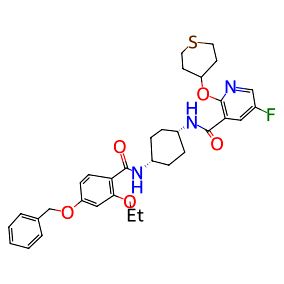 CCOc1cc(OCc2ccccc2)ccc1C(=O)N[C@H]1CC[C@@H](NC(=O)c2cc(F)cnc2OC2CCSCC2)CC1